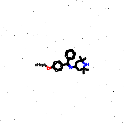 CCCCCCCOc1ccc(/C(=N/C2CC(C)(C)NC(C)(C)C2)c2ccccc2)cc1